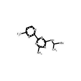 CCCCC(C)Nc1nc(N)nc(-c2nccc(C(F)(F)F)n2)n1